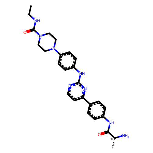 CCNC(=O)N1CCN(c2ccc(Nc3nccc(-c4ccc(NC(=O)[C@@H](C)N)cc4)n3)cc2)CC1